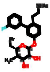 CC(=O)NCCc1ccc(O[C@@H]2O[C@@H](CC(C)C)[C@H](C)[C@@H](O)[C@H]2O)cc1-c1cccc(F)c1